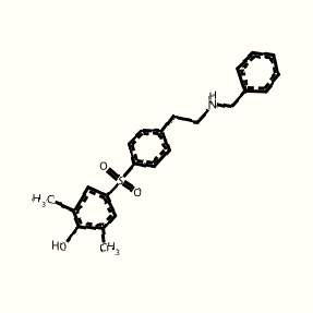 Cc1cc(S(=O)(=O)c2ccc(CCNCc3ccccc3)cc2)cc(C)c1O